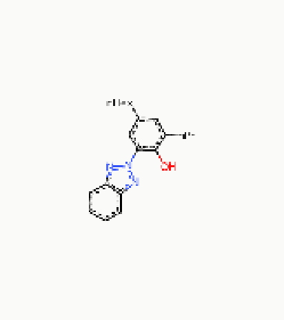 CCCCCCc1cc(C(C)C)c(O)c(-n2nc3ccccc3n2)c1